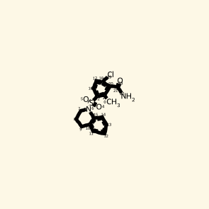 Cc1c(S(=O)(=O)N2CCCc3ccccc32)ccc(Cl)c1C(N)=O